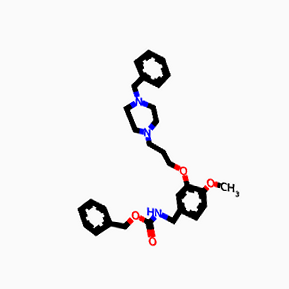 COc1ccc(CNC(=O)OCc2ccccc2)cc1OCCCN1CCN(Cc2ccccc2)CC1